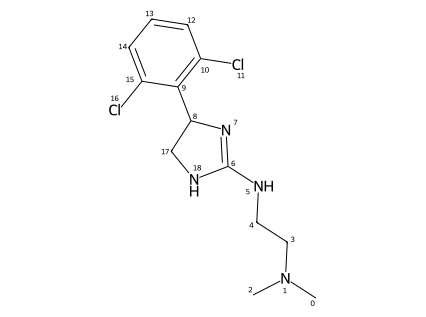 CN(C)CCNC1=NC(c2c(Cl)cccc2Cl)CN1